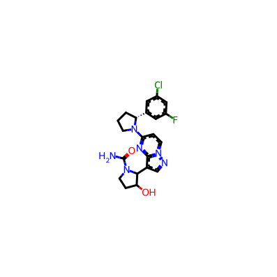 NC(=O)N1CCC(O)C1c1cnn2ccc(N3CCC[C@@H]3c3cc(F)cc(Cl)c3)nc12